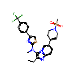 CCc1nc2ccc(C3=CCN(S(C)(=O)=O)CC3)cn2c1N(C)c1nc(-c2ccc(C(F)(F)F)cc2)cs1